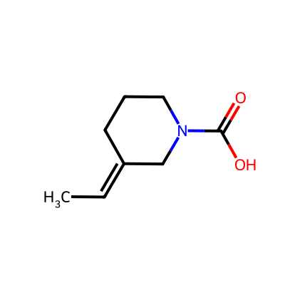 CC=C1CCCN(C(=O)O)C1